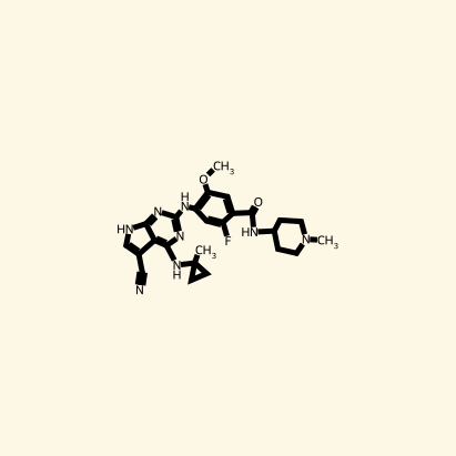 COc1cc(C(=O)NC2CCN(C)CC2)c(F)cc1Nc1nc(NC2(C)CC2)c2c(C#N)c[nH]c2n1